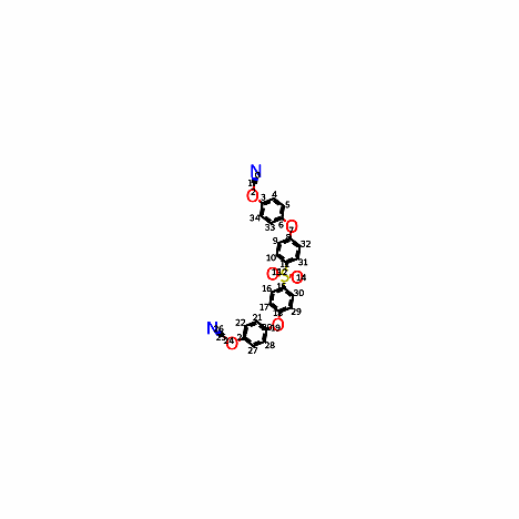 N#COc1ccc(Oc2ccc(S(=O)(=O)c3ccc(Oc4ccc(OC#N)cc4)cc3)cc2)cc1